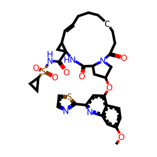 COc1ccc2c(OC3CC4C(=O)NC5(C(=O)NS(=O)(=O)C6CC6)CC5/C=C/CCCCCCC(=O)N4C3)cc(-c3nccs3)nc2c1